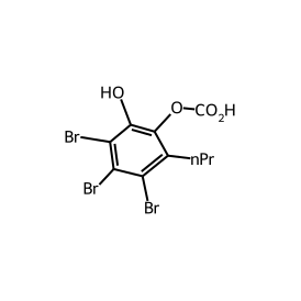 CCCc1c(Br)c(Br)c(Br)c(O)c1OC(=O)O